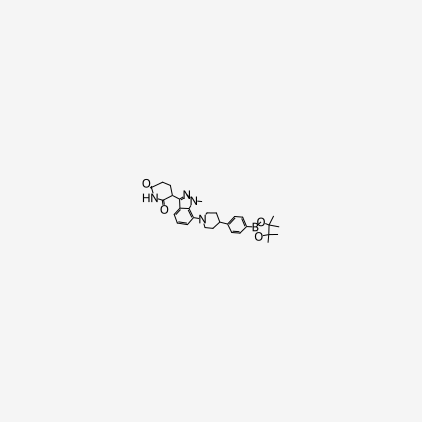 Cn1nc(C2CCC(=O)NC2=O)c2cccc(N3CCC(c4ccc(B5OC(C)(C)C(C)(C)O5)cc4)CC3)c21